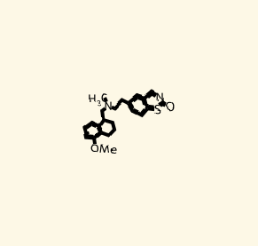 COc1cccc2c1CCCC2CN(C)CCc1ccc2sc(=O)ncc2c1